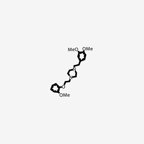 COc1ccc(CCN2CCN(CCOc3ccccc3OC)CC2)cc1OC